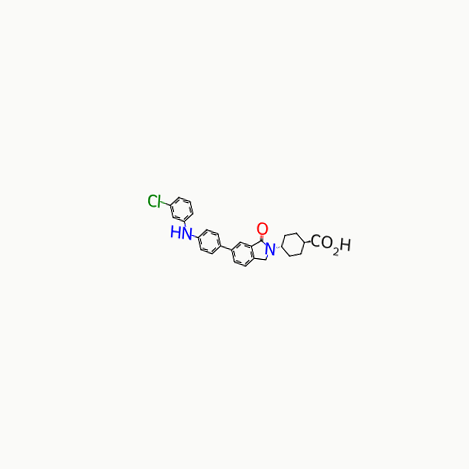 O=C1c2cc(-c3ccc(Nc4cccc(Cl)c4)cc3)ccc2CN1[C@H]1CC[C@H](C(=O)O)CC1